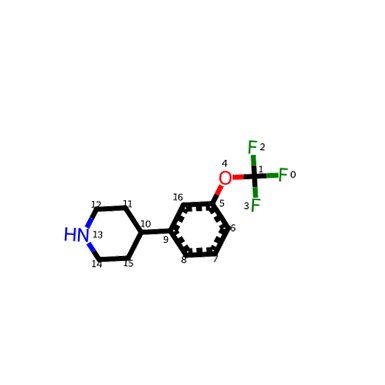 FC(F)(F)Oc1cccc([C]2CCNCC2)c1